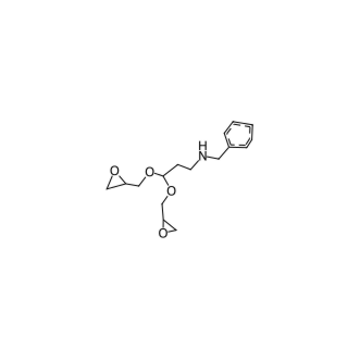 c1ccc(CNCCC(OCC2CO2)OCC2CO2)cc1